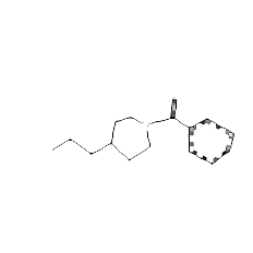 CCOC(=O)CCC1CCN(C(=O)c2ccccc2)CC1